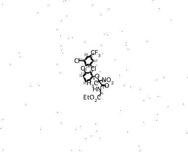 CCOC(=O)CNC(=O)C(C)(Oc1cccc(Oc2c(Cl)cc(C(F)(F)F)cc2Cl)c1)[N+](=O)[O-]